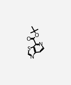 CC(C)(C)OC(=O)c1nccc2ncsc12